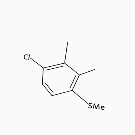 CSc1ccc(Cl)c(C)c1C